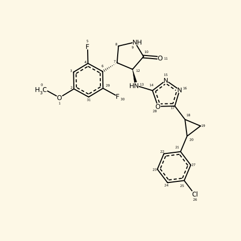 COc1cc(F)c([C@@H]2CNC(=O)[C@H]2Nc2nnc(C3CC3c3cccc(Cl)c3)o2)c(F)c1